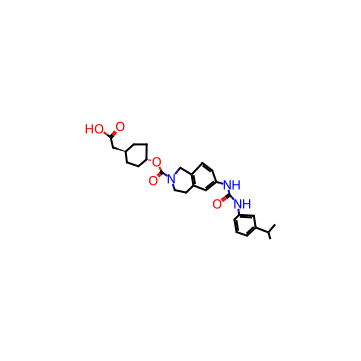 CC(C)c1cccc(NC(=O)Nc2ccc3c(c2)CCN(C(=O)O[C@H]2CC[C@H](CC(=O)O)CC2)C3)c1